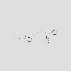 O=C1CCC(N2C(=O)c3cccc(NCCN4CCC(CC(=O)NC(c5cccnc5)c5cc6ccccc6o5)CC4)c3C2=O)C(=O)N1